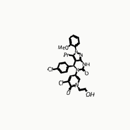 COc1ccccc1-n1nc2c(c1C(C)C)C(c1ccc(Cl)cc1)N(c1cc(Cl)c(=O)n(CCO)c1)C(=O)N2